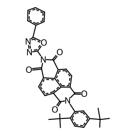 CC(C)(C)c1ccc(C(C)(C)C)c(N2C(=O)c3ccc4c5c(ccc(c35)C2=O)C(=O)N(c2nnc(-c3ccccc3)o2)C4=O)c1